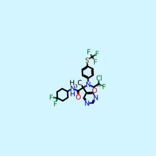 CC(C(=O)NC1CCC(F)(F)CC1)(c1cncnc1)N(C(=O)[C@H](F)Cl)c1ccc(SC(F)(F)F)cc1